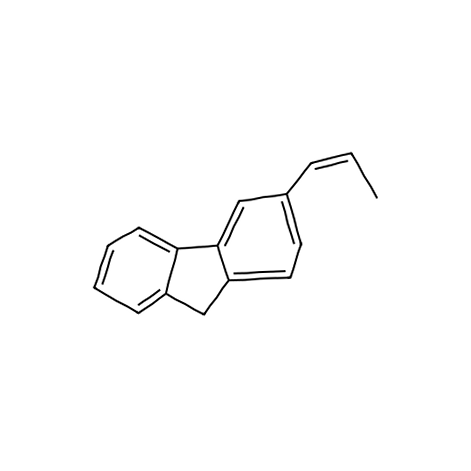 C/C=C\c1ccc2c(c1)-c1ccccc1C2